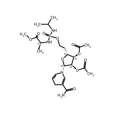 COC(=O)[C@H](C)NP(=O)(NC(C)C)OCC[C@H]1O[C@@H](N2C=CCC(C(N)=O)=C2)[C@H](OC(C)=O)[C@@H]1OC(C)=O